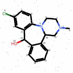 CN1CCN2c3ccc(Cl)cc3C(O)c3ccccc3C2C1